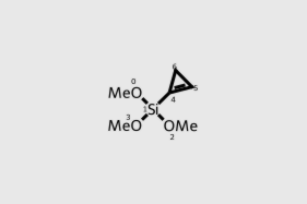 CO[Si](OC)(OC)C1=CC1